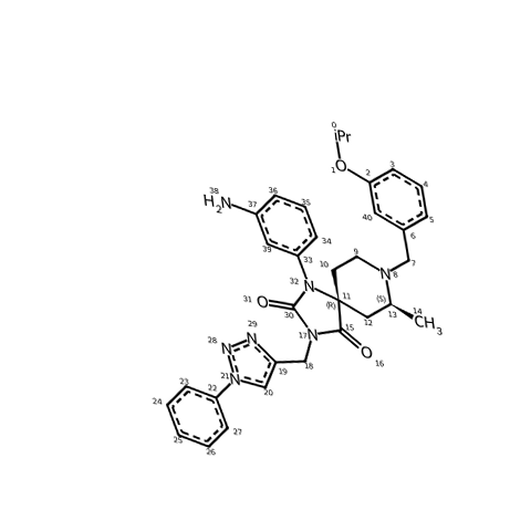 CC(C)Oc1cccc(CN2CC[C@@]3(C[C@@H]2C)C(=O)N(Cc2cn(-c4ccccc4)nn2)C(=O)N3c2cccc(N)c2)c1